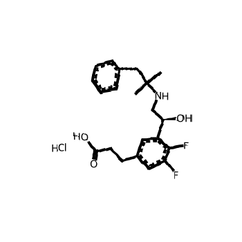 CC(C)(Cc1ccccc1)NC[C@@H](O)c1cc(CCC(=O)O)cc(F)c1F.Cl